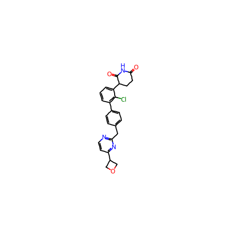 O=C1CCC(c2cccc(-c3ccc(Cc4nccc(C5COC5)n4)cc3)c2Cl)C(=O)N1